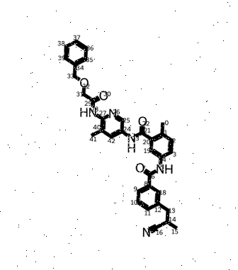 Cc1ccc(NC(=O)c2cccc(CC(C)C#N)c2)cc1C(=O)Nc1cnc(NC(=O)COCc2ccccc2)c(C)c1